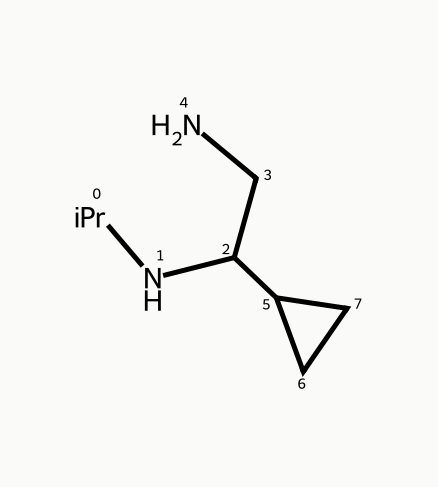 CC(C)NC(CN)C1CC1